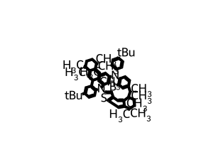 Cc1cc2c3c(c1)N(c1ccc(C(C)(C)C)cc1C1C=C4C(=CC1C)C(C)(C)CCC4(C)C)c1sc4cc5c6cc4c1B3c1cc(ccc1N2c1ccc(C(C)(C)C)cc1)C(C)(C)C6(C)CCC5(C)C